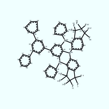 FC1(F)c2ccc3c(c2C(F)(F)C1(F)F)N(c1ccccc1)c1cc(-c2cc(-c4ccccc4)cc(-c4ccccc4)c2)cc2c1B3c1ccc3c(c1N2c1ccccc1)C(F)(F)C(F)(F)C3(F)F